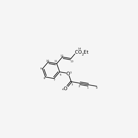 CC#CC(=O)Oc1ccccc1/C=C/C(=O)OCC